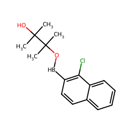 CC(C)(O)C(C)(C)OBc1ccc2ccccc2c1Cl